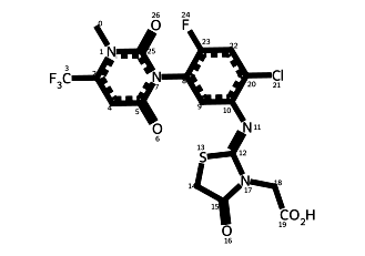 Cn1c(C(F)(F)F)cc(=O)n(-c2cc(N=C3SCC(=O)N3CC(=O)O)c(Cl)cc2F)c1=O